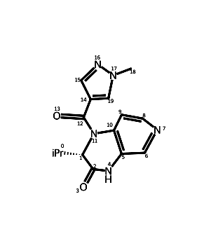 CC(C)[C@H]1C(=O)Nc2cnccc2N1C(=O)c1cnn(C)c1